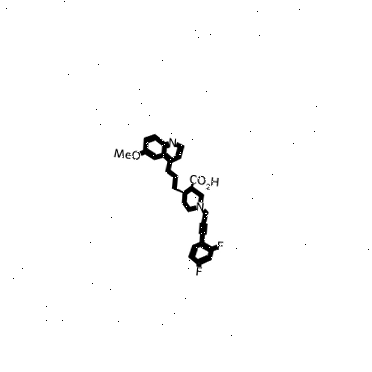 COc1ccc2nccc(CCC[C@@H]3CCN(CC#Cc4ccc(F)cc4F)C[C@@H]3C(=O)O)c2c1